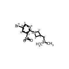 CN(C)CC1CN(c2ncc(Br)cc2[N+](=O)[O-])C1